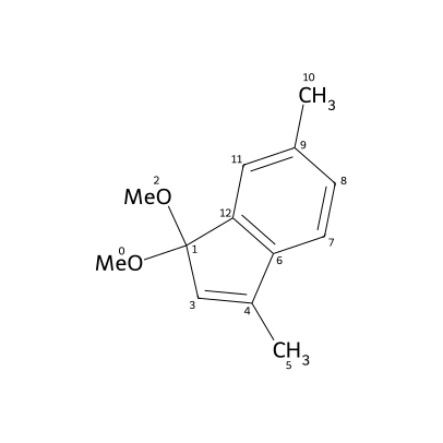 COC1(OC)C=C(C)c2ccc(C)cc21